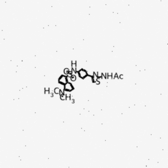 CC(=O)Nc1nc(-c2ccc(NS(=O)(=O)c3cccc4c(N(C)C)cccc34)cc2)cs1